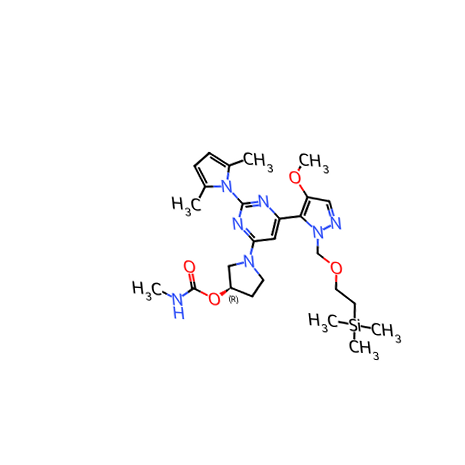 CNC(=O)O[C@@H]1CCN(c2cc(-c3c(OC)cnn3COCC[Si](C)(C)C)nc(-n3c(C)ccc3C)n2)C1